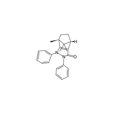 CC1(C)[C@@H]2CC[C@@]1(C)c1c2c(=O)n(-c2ccccc2)n1-c1ccccc1